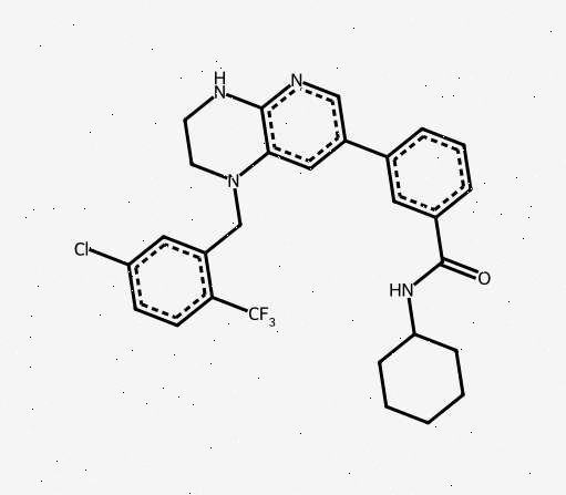 O=C(NC1CCCCC1)c1cccc(-c2cnc3c(c2)N(Cc2cc(Cl)ccc2C(F)(F)F)CCN3)c1